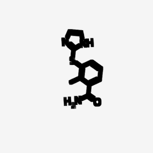 Cc1c(Sc2ncc[nH]2)cccc1C(N)=O